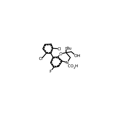 CC(C)(C)C1(CO)CN(C(=O)O)c2cc(F)cc(-c3c(Cl)cccc3Cl)c2O1